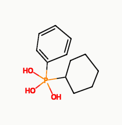 OP(O)(O)(c1ccccc1)C1CCCCC1